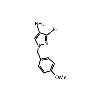 COc1ccc(Cn2cc(N)c(Br)n2)cc1